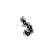 CNC(=O)c1cc(Oc2ccc3nnc(NC(=O)c4ccc5c(c4)OC(F)(F)O5)nc3c2)ccn1